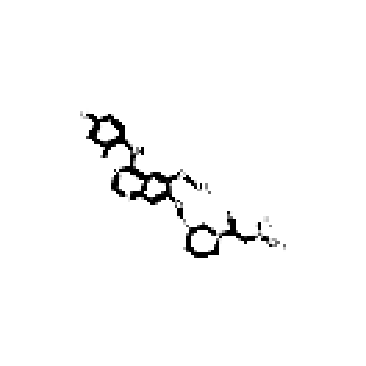 COc1cc2c(Nc3ccc(Cl)cc3F)ncnc2cc1OC[C@H]1CCCN(C(=O)CN(C)C)C1